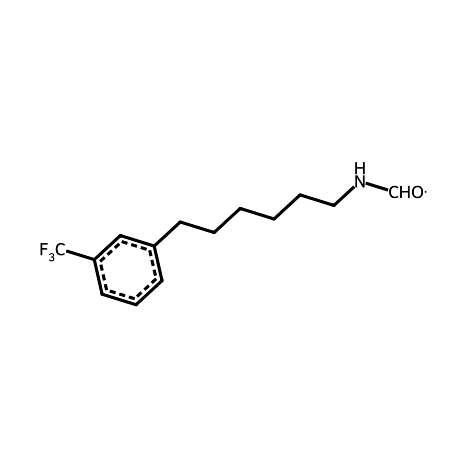 O=[C]NCCCCCCc1cccc(C(F)(F)F)c1